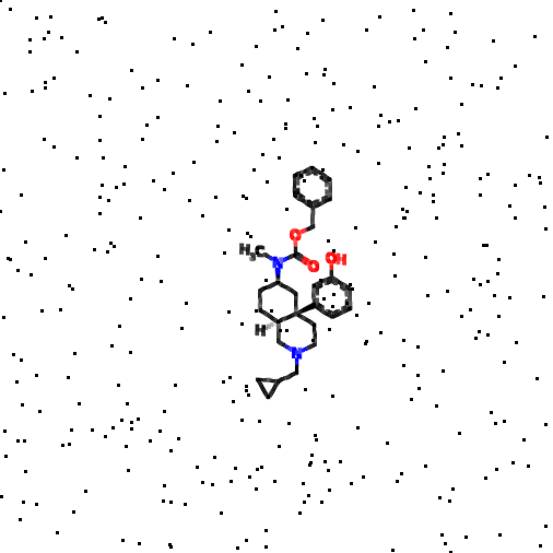 CN(C(=O)OCc1ccccc1)[C@@H]1CC[C@@H]2CN(CC3CC3)CC[C@@]2(c2cccc(O)c2)C1